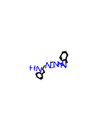 c1ccc2[nH]c(CN3CCN(n4ncc5ccccc54)CC3)cc2c1